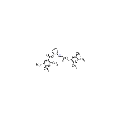 Cc1nc(C)c(COC(=O)/C=C/c2ccccc2OC(=O)c2nc(C)c(C)nc2C)nc1C